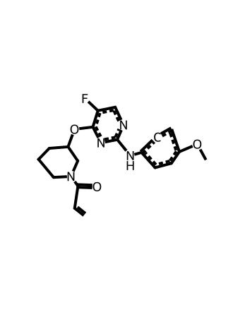 C=CC(=O)N1CCCC(Oc2nc(Nc3ccc(OC)cc3)ncc2F)C1